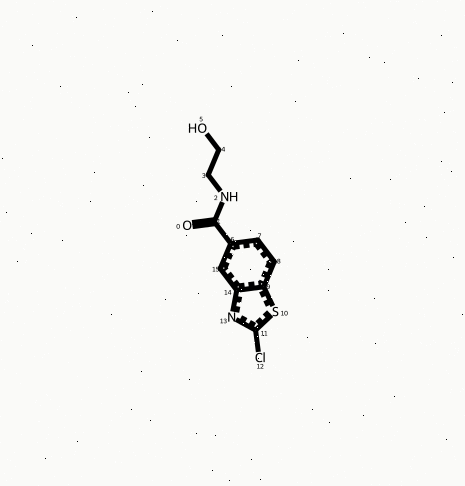 O=C(NCCO)c1ccc2sc(Cl)nc2c1